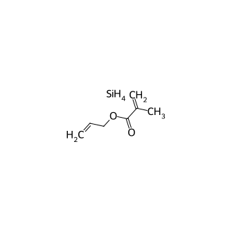 C=CCOC(=O)C(=C)C.[SiH4]